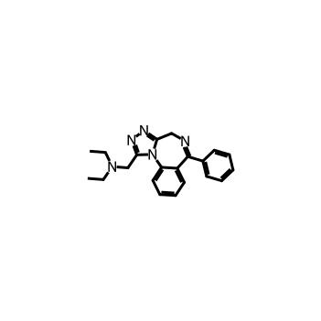 CCN(CC)Cc1nnc2n1-c1ccccc1C(c1ccccc1)=NC2